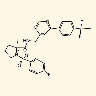 C[C@@]1(C(=O)NCc2cc(-c3ccc(C(F)(F)F)cc3)ncn2)CCCN1S(=O)(=O)c1ccc(F)cc1